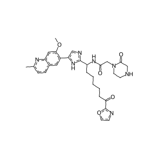 COc1cc2nc(C)ccc2cc1-c1cnc(C(CCCCCC(=O)c2ncco2)NC(=O)CN2CCNCC2=O)[nH]1